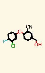 N#Cc1cc(CO)ccc1Oc1ccc(F)c(Cl)c1